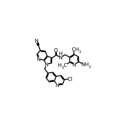 Cc1cc(N)nc(C)c1CNC(=O)c1cn(Cc2ccc3ncc(Cl)cc3c2)c2ncc(C#N)cc12